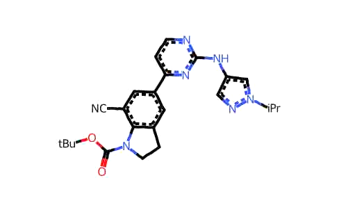 CC(C)n1cc(Nc2nccc(-c3cc(C#N)c4c(c3)CCN4C(=O)OC(C)(C)C)n2)cn1